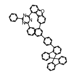 c1ccc(-c2nc(-c3ccccc3)nc(-c3cccc4oc5ccc(-c6cccc(-c7ccc(-c8cccc9c8-c8ccccc8C98c9ccccc9-c9ccccc98)cc7)c6)cc5c34)n2)cc1